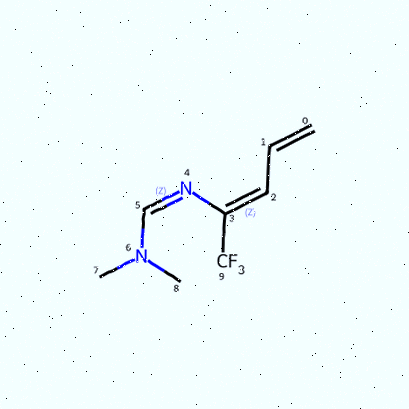 C=C/C=C(\N=C/N(C)C)C(F)(F)F